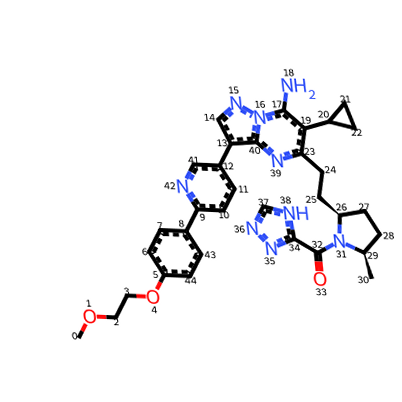 COCCOc1ccc(-c2ccc(-c3cnn4c(N)c(C5CC5)c(CC[C@H]5CC[C@@H](C)N5C(=O)c5nnc[nH]5)nc34)cn2)cc1